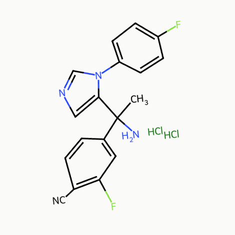 CC(N)(c1ccc(C#N)c(F)c1)c1cncn1-c1ccc(F)cc1.Cl.Cl